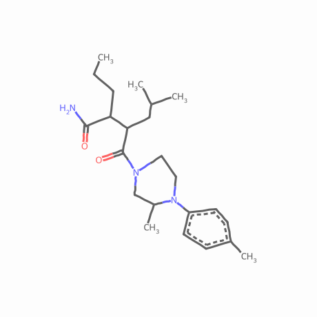 CCCC(C(N)=O)C(CC(C)C)C(=O)N1CCN(c2ccc(C)cc2)C(C)C1